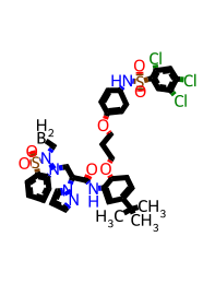 BCN1N(CC(C(=O)NC2=CC(C(C)(C)C)=CCC2OCCCOC2=CCC(NS(=O)(=O)c3cc(Cl)c(Cl)cc3Cl)C=C2)n2cccn2)c2ccccc2S1(=O)=O